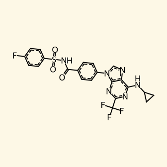 O=C(NS(=O)(=O)c1ccc(F)cc1)c1ccc(-n2cnc3c(NC4CC4)nc(C(F)(F)F)nc32)cc1